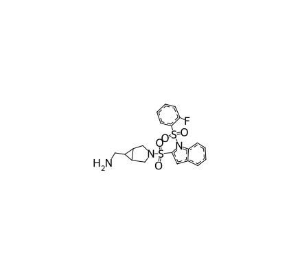 NCC1C2CN(S(=O)(=O)c3cc4ccccc4n3S(=O)(=O)c3ccccc3F)CC12